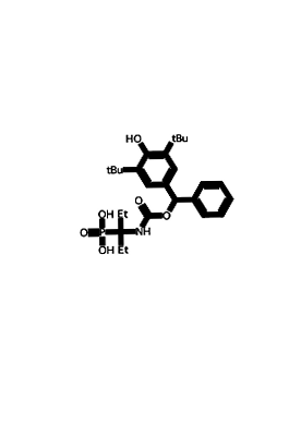 CCC(CC)(NC(=O)OC(c1ccccc1)c1cc(C(C)(C)C)c(O)c(C(C)(C)C)c1)P(=O)(O)O